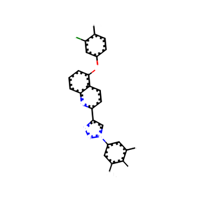 Cc1ccc(Oc2cccc3nc(-c4cn(-c5cc(C)c(C)c(C)c5)nn4)ccc23)cc1Cl